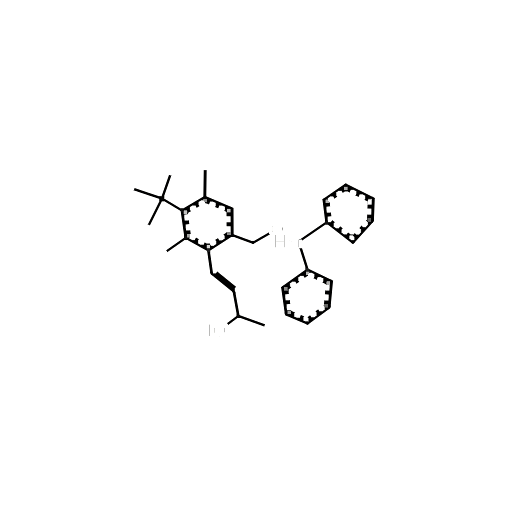 Cc1cc(CO[SiH](c2ccccc2)c2ccccc2)c(C=CC(C)O)c(C)c1C(C)(C)C